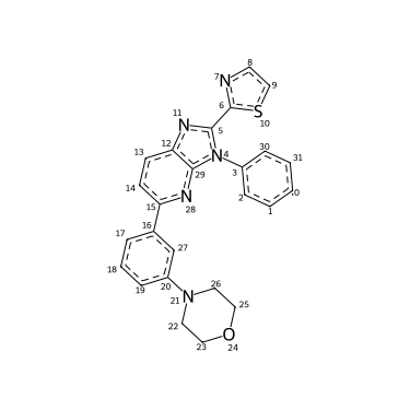 [c]1ccc(-n2c(-c3nccs3)nc3ccc(-c4cccc(N5CCOCC5)c4)nc32)cc1